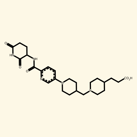 O=C(O)CCC1CCN(CC2CCN(c3ccc(C(=O)NC4CCC(=O)NC4=O)nc3)CC2)CC1